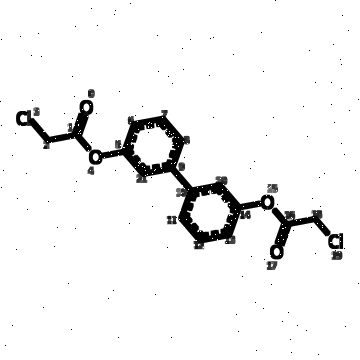 O=C(CCl)Oc1cccc(-c2cccc(OC(=O)CCl)c2)c1